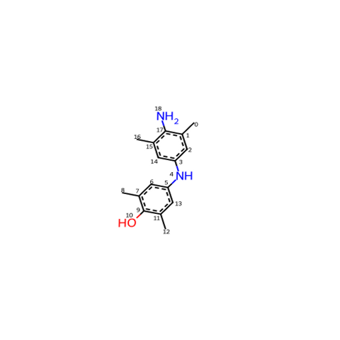 Cc1cc(Nc2cc(C)c(O)c(C)c2)cc(C)c1N